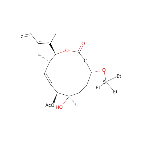 C=CC=C(C)[C@H]1OC(=O)C[C@H](O[Si](CC)(CC)CC)CC[C@@](C)(O)[C@@H](OC(C)=O)C=C[C@@H]1C